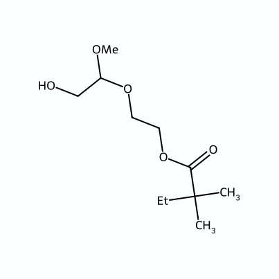 CCC(C)(C)C(=O)OCCOC(CO)OC